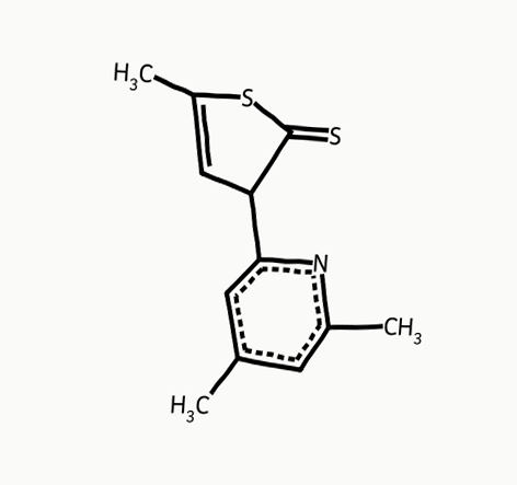 CC1=CC(c2cc(C)cc(C)n2)C(=S)S1